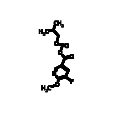 COc1ncc(C(=O)OC(=O)OCC(C)C)cc1F